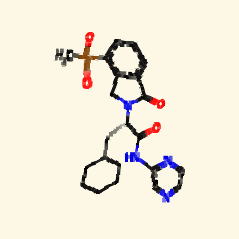 CS(=O)(=O)c1cccc2c1CN([C@@H](CC1CCCCC1)C(=O)Nc1cnccn1)C2=O